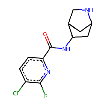 O=C(NC1CC2CC1CN2)c1ccc(Cl)c(F)n1